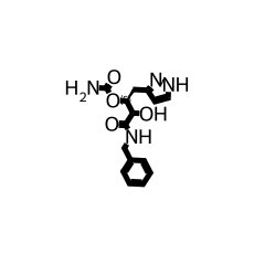 NC(=O)O[C@@H](Cc1cc[nH]n1)C(O)C(=O)NCc1ccccc1